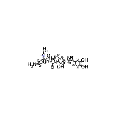 C/C=C(\C(=O)NC1C(=O)N2C(C(=O)O)=C(CSc3nnc(-c4ccc(O)c(O)c4)s3)CS[C@H]12)c1csc(N)n1